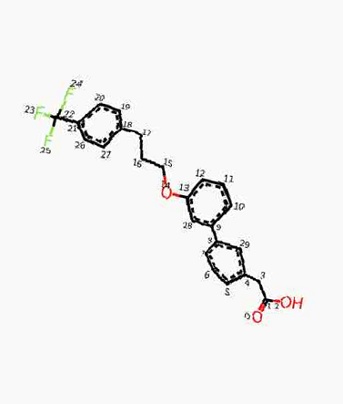 O=C(O)Cc1cccc(-c2cccc(OCCCc3ccc(C(F)(F)F)cc3)c2)c1